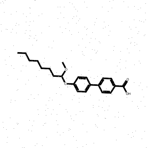 CCCCCCCC(OC)Oc1ccc(-c2ccc(C(=O)O)cc2)cc1